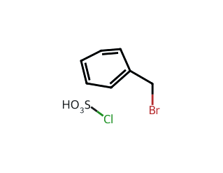 BrCc1ccccc1.O=S(=O)(O)Cl